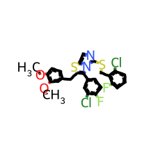 COc1ccc(Cc2sc3cnc(SCc4c(F)cccc4Cl)n3c2-c2ccc(F)c(Cl)c2)cc1OC